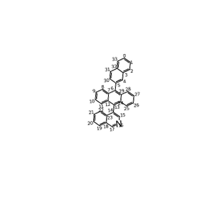 c1ccc2cc(-c3c4ccccc4c(-c4cncc5ccccc45)c4ccccc34)ccc2c1